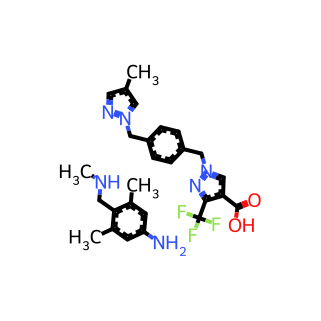 CNCc1c(C)cc(N)cc1C.Cc1cnn(Cc2ccc(Cn3cc(C(=O)O)c(C(F)(F)F)n3)cc2)c1